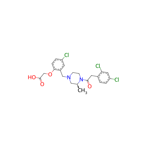 C[C@H]1CN(Cc2cc(Cl)ccc2OCC(=O)O)CCN1C(=O)Cc1ccc(Cl)cc1Cl